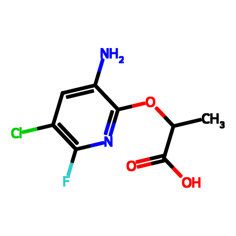 CC(Oc1nc(F)c(Cl)cc1N)C(=O)O